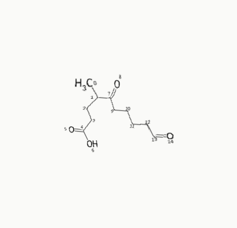 CC(CCC(=O)O)C(=O)CCCCC=O